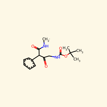 [CH2]NC(=O)C(C(=O)CNC(=O)OC(C)(C)C)c1ccccc1